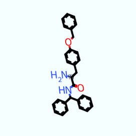 N[C@@H](Cc1ccc(OCc2ccccc2)cc1)C(=O)NC(c1ccccc1)c1ccccc1